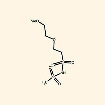 COCCOCCS(=O)(=O)NS(=O)(=O)C(F)(F)F